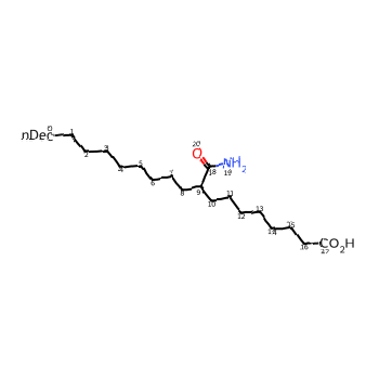 CCCCCCCCCCCCCCCCCCC(CCCCCCCC(=O)O)C(N)=O